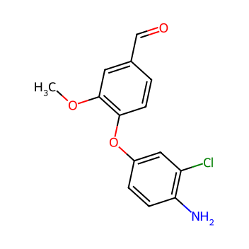 COc1cc(C=O)ccc1Oc1ccc(N)c(Cl)c1